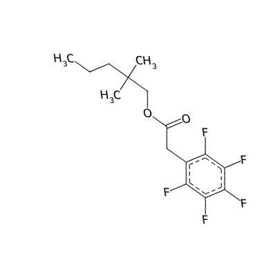 CCCC(C)(C)COC(=O)Cc1c(F)c(F)c(F)c(F)c1F